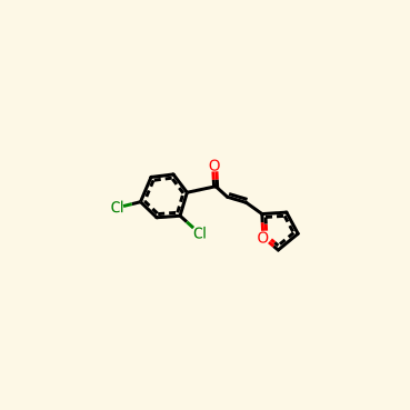 O=C(C=Cc1ccco1)c1ccc(Cl)cc1Cl